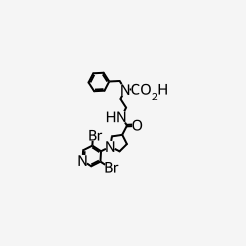 O=C(NCCN(Cc1ccccc1)C(=O)O)C1CCN(c2c(Br)cncc2Br)C1